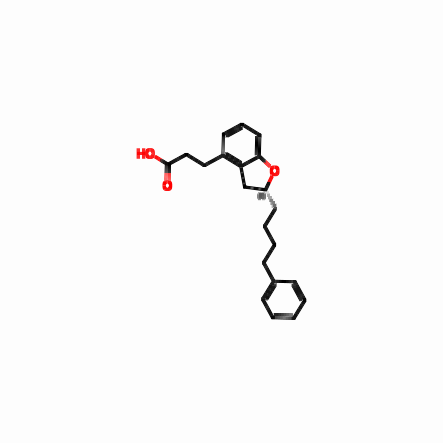 O=C(O)CCc1cccc2c1C[C@@H](CCCCc1ccccc1)O2